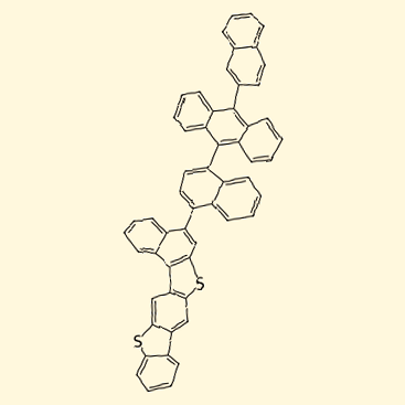 c1ccc2cc(-c3c4ccccc4c(-c4ccc(-c5cc6sc7cc8c(cc7c6c6ccccc56)sc5ccccc58)c5ccccc45)c4ccccc34)ccc2c1